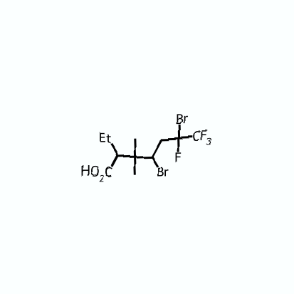 CCC(C(=O)O)C(C)(C)C(Br)CC(F)(Br)C(F)(F)F